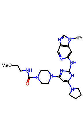 COCCNC(=O)N1CCN(c2cc(N3CCCC3)nc(Nc3cc4c(cn3)ncn4C(C)C)n2)CC1